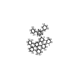 c1ccc(-c2cc(-c3nc(-c4ccccc4)nc(-c4ccccc4)n3)cc(-c3cc(-c4ccccc4)c(-c4ccccc4)c(-c4ccccc4)c3-c3ccccc3)c2)cc1